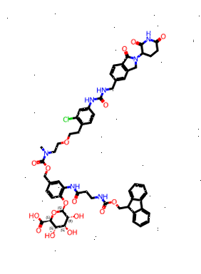 CN(CCOCCc1ccc(NC(=O)NCc2ccc3c(c2)CN(C2CCC(=O)NC2=O)C3=O)cc1Cl)C(=O)OCc1ccc(O[C@@H]2O[C@H](C(=O)O)[C@@H](O)[C@H](O)[C@H]2O)c(NC(=O)CCNC(=O)OCC2c3ccccc3-c3ccccc32)c1